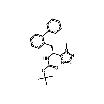 Cn1nnnc1[C@H](Cc1ccccc1-c1ccccc1)NC(=O)OC(C)(C)C